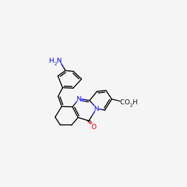 Nc1cccc(/C=C2/CCCc3c2nc2ccc(C(=O)O)cn2c3=O)c1